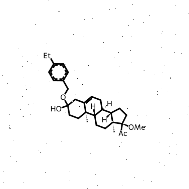 CCc1ccc(COC2(O)CC[C@@]3(C)C(=CC[C@@H]4[C@@H]3CC[C@@]3(C)[C@H]4CC[C@]3(OC)C(C)=O)C2)cc1